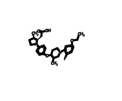 CCOc1ccc(F)c(N2CCC(Oc3ccc(N4CC[C@@H](C)[C@@H]4CC(=O)O)cc3)C(C)C2)c1